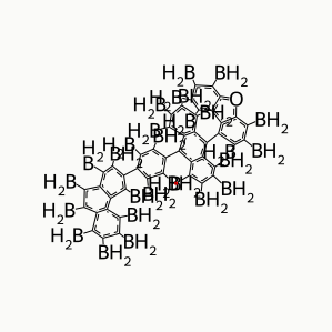 Bc1c(B)c(-c2c3c(B)c(B)c(B)c(B)c3c(-c3c(B)c(B)c(B)c4oc5c(B)c(B)c(B)c(B)c5c34)c3c(B)c(B)c(B)c(B)c23)c(B)c(B)c1-c1c(B)c(B)c2c(B)c(B)c3c(B)c(B)c(B)c(B)c3c2c1B